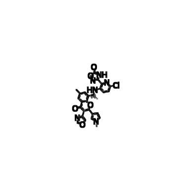 Cc1cc([C@@H](C)Nc2ccc(Cl)nc2-c2noc(=O)[nH]2)c2oc(-c3ccn(C)c3)c(-c3cocn3)c(=O)c2c1